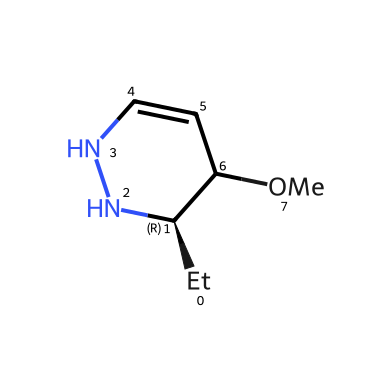 CC[C@H]1NNC=CC1OC